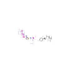 CC(C)(C)c1ccc(CCCC(=O)NCc2scc3c2CN(C2CCC(=O)NC2=O)C3=O)cc1